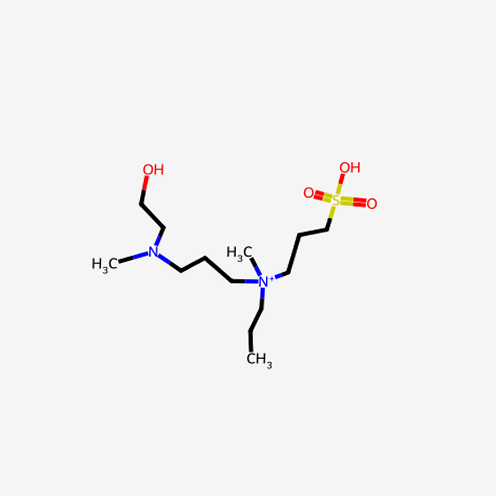 CCC[N+](C)(CCCN(C)CCO)CCCS(=O)(=O)O